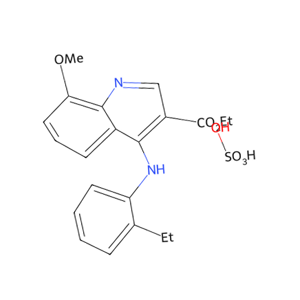 CCOC(=O)c1cnc2c(OC)cccc2c1Nc1ccccc1CC.O=S(=O)(O)O